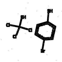 SC(Cl)(Cl)Cl.Sc1ccc(Br)cc1